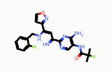 CC(C)(F)C(=O)Nc1cnc(C(=N)/C=C(\NCc2ccccc2F)c2ccon2)nc1N